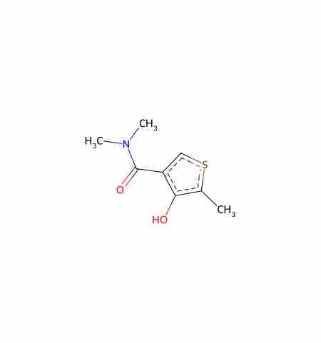 Cc1scc(C(=O)N(C)C)c1O